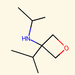 CC(C)NC1(C(C)C)COC1